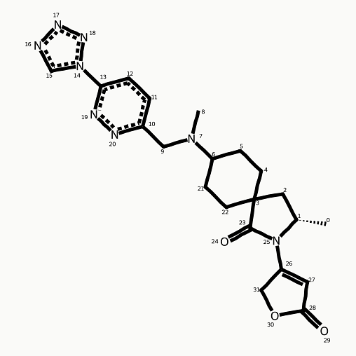 C[C@H]1CC2(CCC(N(C)Cc3ccc(-n4cnnn4)nn3)CC2)C(=O)N1C1=CC(=O)OC1